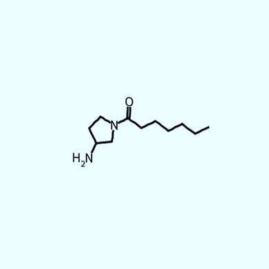 CCCCCCC(=O)N1CCC(N)C1